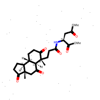 COC(=O)C[C@H](NC(=O)CC[C@@]1(C)C(=O)CC[C@@H]2[C@@H]1C(=O)C[C@]1(C)C(=O)CC[C@@H]21)C(=O)OC